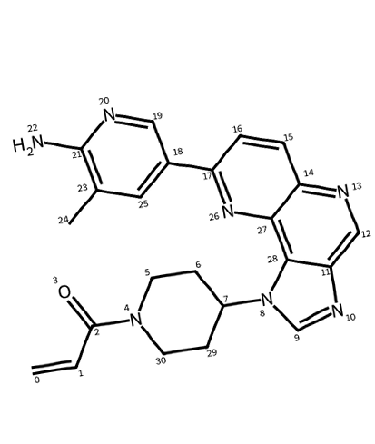 C=CC(=O)N1CCC(n2cnc3cnc4ccc(-c5cnc(N)c(C)c5)nc4c32)CC1